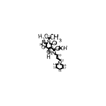 CC(C)n1c(=O)c(C(=O)NCCCN2CCCCC2)c(O)c2ocnc21.[KH]